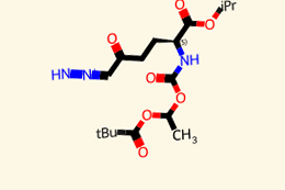 CC(C)OC(=O)[C@H](CCC(=O)C=[N+]=N)NC(=O)OC(C)OC(=O)C(C)(C)C